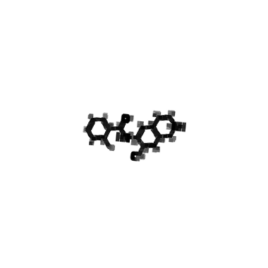 Cc1ccccc1C(=O)Nc1cc2c(cc1Cl)CNC=C2